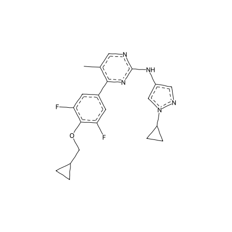 Cc1cnc(Nc2cnn(C3CC3)c2)nc1-c1cc(F)c(OCC2CC2)c(F)c1